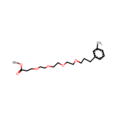 Cc1cccc(CCCOCCOCCOCCOCCC(=O)OC(C)(C)C)c1